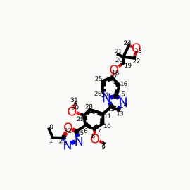 CCc1nnc(-c2c(OC)cc(-c3cnc4cc(OCC5(C)COC5)ccn34)cc2OC)o1